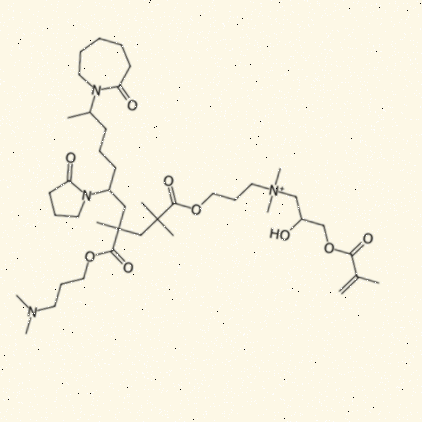 C=C(C)C(=O)OCC(O)C[N+](C)(C)CCCOC(=O)C(C)(C)CC(C)(CC(CCCC(C)N1CCCCCC1=O)N1CCCC1=O)C(=O)OCCCN(C)C